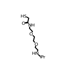 CC(C)NCCOCCOCCNC(=O)CS